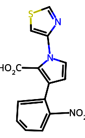 O=C(O)c1c(-c2ccccc2[N+](=O)[O-])ccn1-c1cscn1